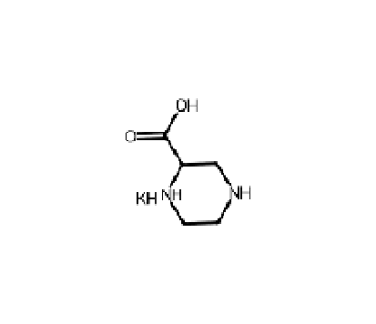 O=C(O)C1CNCCN1.[KH]